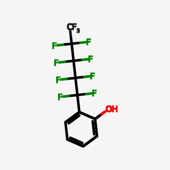 Oc1ccccc1C(F)(F)C(F)(F)C(F)(F)C(F)(F)C(F)(F)F